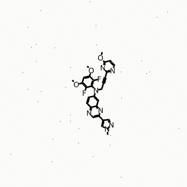 COc1ccnc(C#CCN(c2ccc3ncc(-c4cnn(C)c4)nc3c2)c2c(F)c(OC)cc(OC)c2F)n1